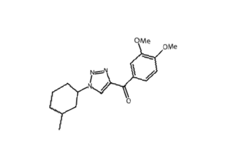 COc1ccc(C(=O)c2cn(C3CCCC(C)C3)nn2)cc1OC